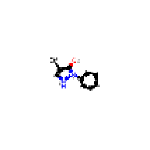 CCc1c[nH]n(-c2ccccc2)c1=O